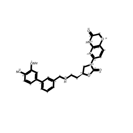 COc1cc(-c2cccc(CNCC[C@H]3CN(c4ccc5c(n4)NC(=O)CO5)C(=O)O3)c2)ccc1C#N